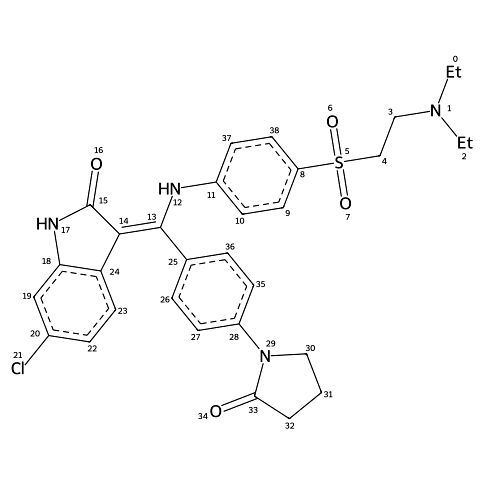 CCN(CC)CCS(=O)(=O)c1ccc(N/C(=C2\C(=O)Nc3cc(Cl)ccc32)c2ccc(N3CCCC3=O)cc2)cc1